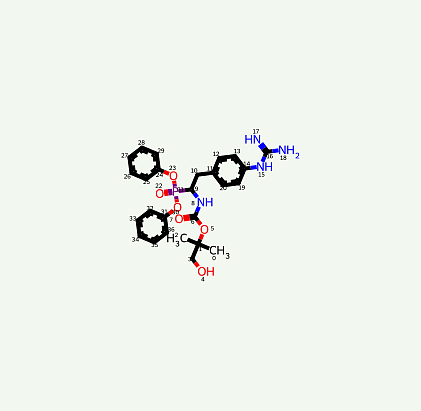 CC(C)(CO)OC(=O)NC(Cc1ccc(NC(=N)N)cc1)P(=O)(Oc1ccccc1)Oc1ccccc1